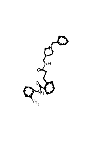 Nc1ccccc1NC(=O)c1ccccc1CCC(=O)NCC1CCN(Cc2ccccc2)CC1